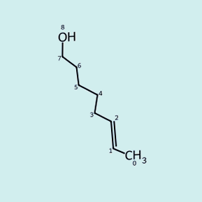 CC=CCCCCCO